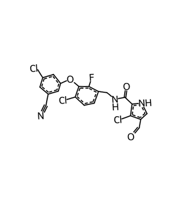 N#Cc1cc(Cl)cc(Oc2c(Cl)ccc(CNC(=O)c3[nH]cc(C=O)c3Cl)c2F)c1